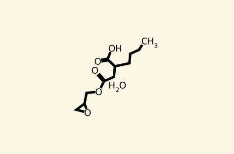 CCCCC(CC(=O)OCC1CO1)C(=O)O.O